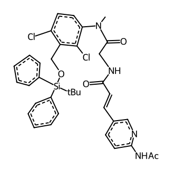 CC(=O)Nc1ccc(C=CC(=O)NCC(=O)N(C)c2ccc(Cl)c(CO[Si](c3ccccc3)(c3ccccc3)C(C)(C)C)c2Cl)cn1